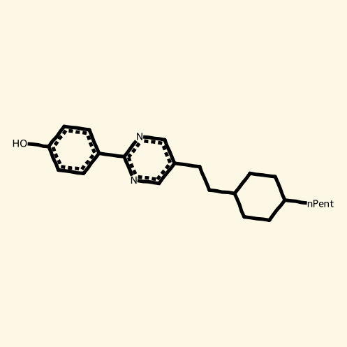 CCCCCC1CCC(CCc2cnc(-c3ccc(O)cc3)nc2)CC1